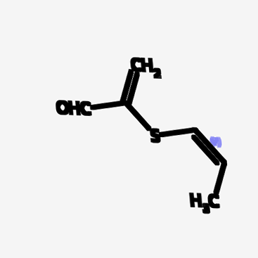 C=C(C=O)S/C=C\C